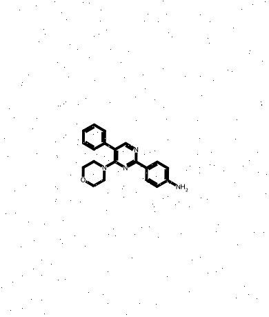 Nc1ccc(-c2ncc(-c3ccccc3)c(N3CCOCC3)n2)cc1